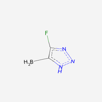 Bc1[nH]nnc1F